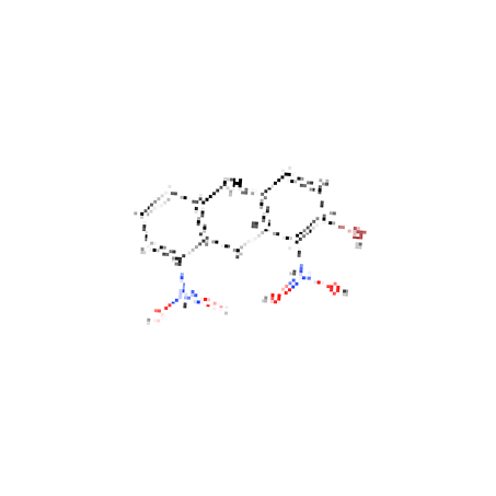 Cc1cccc([N+](=O)[O-])c1Cc1cccc(Br)c1[N+](=O)[O-]